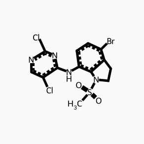 CS(=O)(=O)N1CCc2c(Br)ccc(Nc3nc(Cl)ncc3Cl)c21